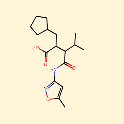 Cc1cc(NC(=O)C(C(C)C)C(CC2CCCC2)C(=O)O)no1